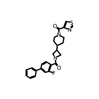 O=C(c1cscn1)N1CCC(C2CN(C(=O)c3ccc(-c4ccccc4)cc3F)C2)CC1